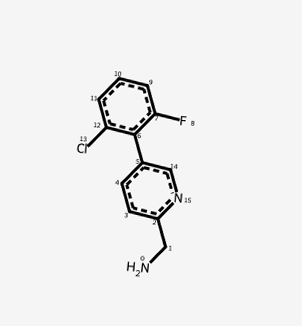 NCc1ccc(-c2c(F)cccc2Cl)cn1